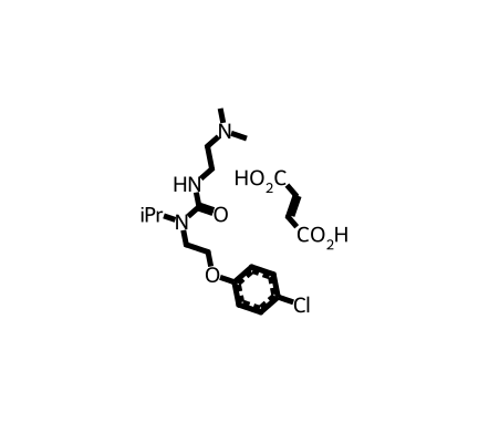 CC(C)N(CCOc1ccc(Cl)cc1)C(=O)NCCN(C)C.O=C(O)C=CC(=O)O